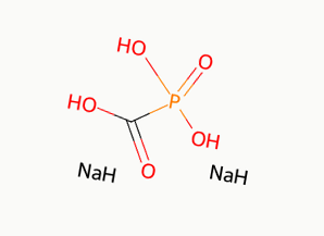 O=C(O)P(=O)(O)O.[NaH].[NaH]